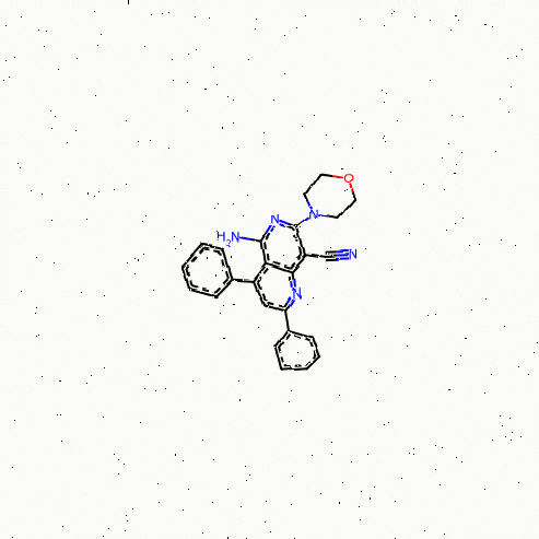 N#Cc1c(N2CCOCC2)nc(N)c2c(-c3ccccc3)cc(-c3ccccc3)nc12